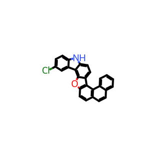 Clc1ccc2[nH]c3ccc4c(oc5ccc6ccc7ccccc7c6c54)c3c2c1